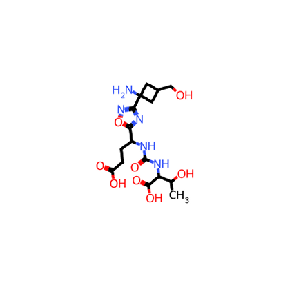 CC(O)C(NC(=O)NC(CCC(=O)O)c1nc(C2(N)CC(CO)C2)no1)C(=O)O